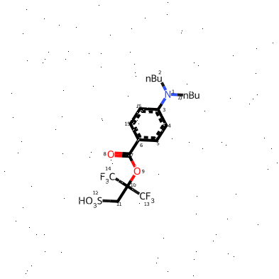 CCCCN(CCCC)c1ccc(C(=O)OC(CS(=O)(=O)O)(C(F)(F)F)C(F)(F)F)cc1